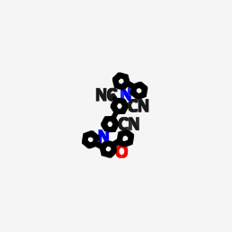 N#Cc1cc(-n2c3ccccc3c3ccc4oc5ccccc5c4c32)ccc1-c1cc(C#N)c(-n2c3ccccc3c3ccccc32)c(C#N)c1